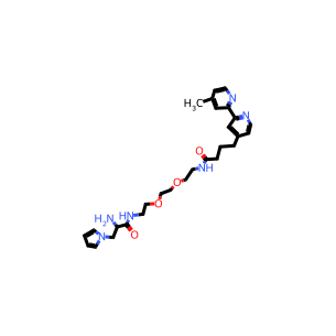 Cc1ccnc(-c2cc(CCCC(=O)NCCOCCOCCNC(=O)C(N)Cn3cccc3)ccn2)c1